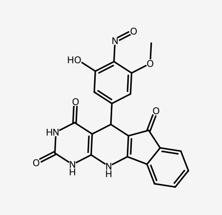 COc1cc(C2C3=C(Nc4[nH]c(=O)[nH]c(=O)c42)c2ccccc2C3=O)cc(O)c1N=O